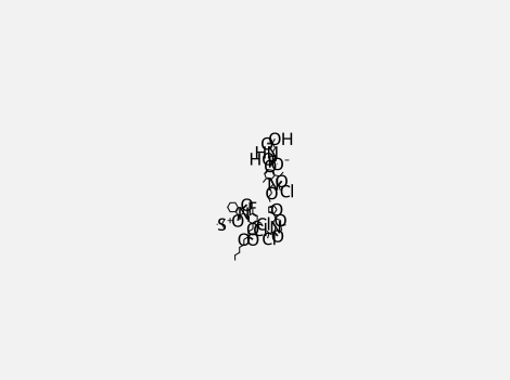 CC1(C)OC(c2ccco2)CN1C(=O)C(Cl)Cl.CCCCCOC(=O)COc1cc(N2C(=O)C3=C(CCCC3)C2=O)c(F)cc1Cl.CCOCN(C(=O)CCl)c1c(C)cccc1CC.C[S+](C)C.O=C(O)CNCP(=O)([O-])O